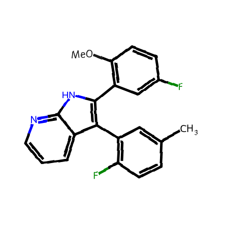 COc1ccc(F)cc1-c1[nH]c2ncccc2c1-c1cc(C)ccc1F